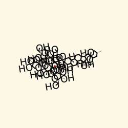 C[C@@H]1CC[C@@]2(OC1)O[C@@H]1[C@@H](C3CC[C@H]4[C@@H](CC[C@H]5C[C@@H](O[C@@H]6O[C@H](CO)[C@H](O[C@@H]7O[C@H](CO)[C@@H](O)[C@H](O[C@@H]8OC[C@@H](O)[C@H](O)[C@H]8O)[C@H]7O[C@@H]7O[C@H](CO)[C@H](O)[C@](O)(O[C@@H]8O[C@H](CO)[C@@H](O)[C@H](O)[C@H]8O)[C@H]7O)[C@H](O)[C@H]6O)[C@H](O)C[C@@]54C)C3[C@@H]1O)[C@@H]2C